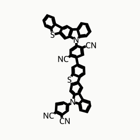 N#Cc1ccc(-n2c3ccccc3c3cc4c(cc32)sc2cc(-c3cc(C#N)c(-n5c6ccccc6c6cc7c(cc65)sc5ccccc57)cc3C#N)ccc24)cc1C#N